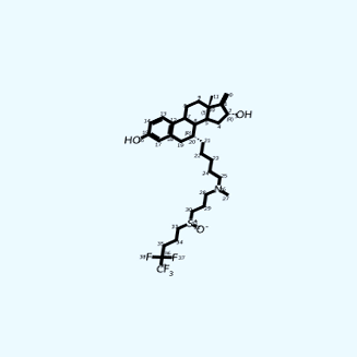 C=C1[C@H](O)CC2C3C(CC[C@]12C)c1ccc(O)cc1C[C@H]3CCCCCN(C)CCC[S+]([O-])CCCC(F)(F)C(F)(F)F